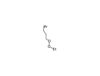 CCOOCCCC(C)C